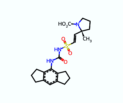 C[C@]1(/C=C/S(=O)(=O)NC(=O)Nc2c3c(cc4c2CCC4)CCC3)CCCN1C(=O)O